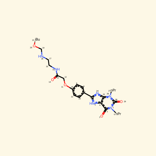 CCCn1c(=O)c2[nH]c(-c3ccc(OCC(=O)NCCNCO[C@H](C)CC)cc3)nc2n(CCC)c1=O